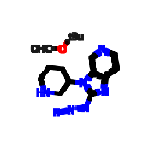 CC(C)(C)OC=O.[N-]=[N+]=Nc1nc2ccncc2n1C1CCCNC1